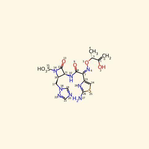 C=C(O)[C@@H](C)O/N=C(\C(=O)N[C@@H]1C(=O)N(S(=O)(=O)O)[C@@H]1Cn1cncn1)c1csc(N)n1